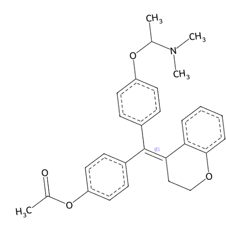 CC(=O)Oc1ccc(/C(=C2\CCOc3ccccc32)c2ccc(OC(C)N(C)C)cc2)cc1